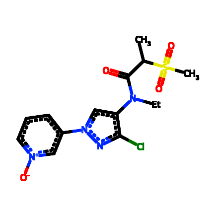 CCN(C(=O)C(C)S(C)(=O)=O)c1cn(-c2ccc[n+]([O-])c2)nc1Cl